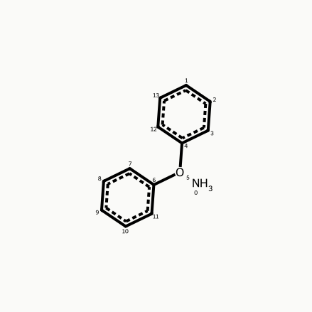 N.c1ccc(Oc2ccccc2)cc1